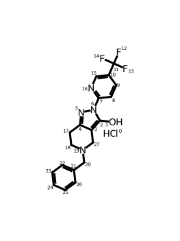 Cl.Oc1c2c(nn1-c1ccc(C(F)(F)F)cn1)CCN(Cc1ccccc1)C2